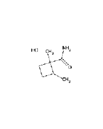 CC1CCC1(C)C(N)=O.Cl